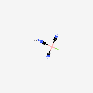 N#C[B-](F)(C#N)C#N.[Na+]